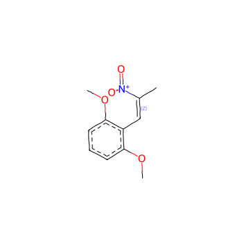 COc1cccc(OC)c1/C=C(/C)[N+](=O)[O-]